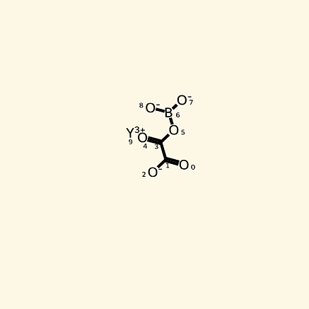 O=C([O-])C(=O)OB([O-])[O-].[Y+3]